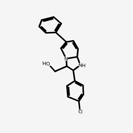 OCC1C(c2ccc(Cl)cc2)NC2C=CC(c3ccccc3)=CN21